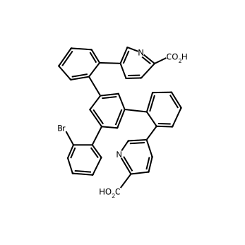 O=C(O)c1ccc(-c2ccccc2-c2cc(-c3ccccc3Br)cc(-c3ccccc3-c3ccc(C(=O)O)nc3)c2)cn1